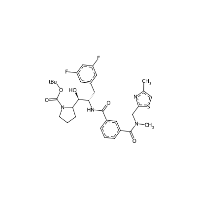 Cc1csc(CN(C)C(=O)c2cccc(C(=O)N[C@@H](Cc3cc(F)cc(F)c3)[C@H](O)C3CCCN3C(=O)OC(C)(C)C)c2)n1